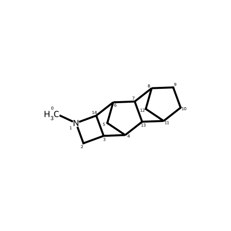 CN1CC2C3CC(C4C5CCC(C5)C34)C21